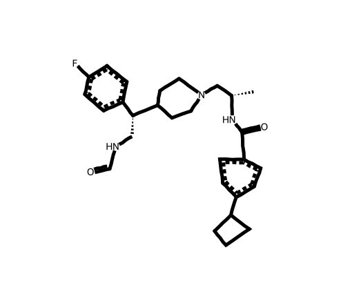 C[C@@H](CN1CCC([C@H](CNC=O)c2ccc(F)cc2)CC1)NC(=O)c1ccc(C2CCC2)cc1